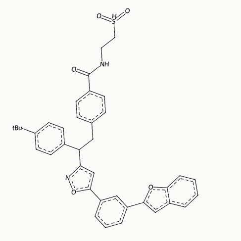 CC(C)(C)c1ccc(C(Cc2ccc(C(=O)NCC[SH](=O)=O)cc2)c2cc(-c3cccc(-c4cc5ccccc5o4)c3)on2)cc1